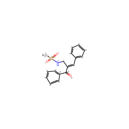 CS(=O)(=O)NC/C(=C\c1ccccc1)C(=O)c1ccccc1